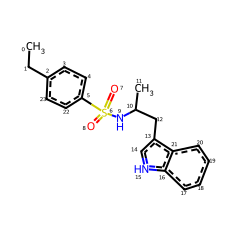 CCc1ccc(S(=O)(=O)NC(C)Cc2c[nH]c3ccccc23)cc1